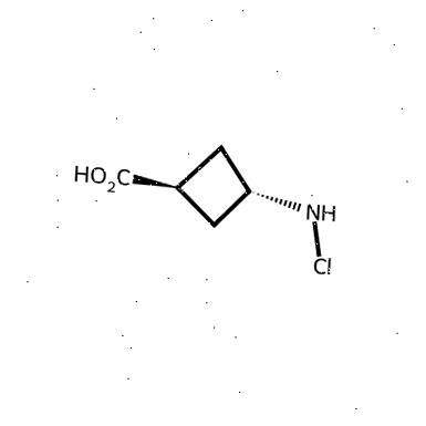 O=C(O)[C@H]1C[C@H](NCl)C1